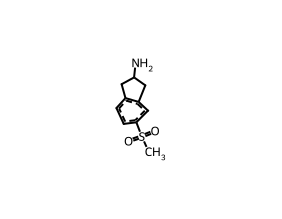 CS(=O)(=O)c1ccc2c(c1)CC(N)C2